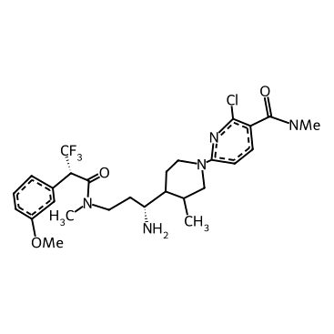 CNC(=O)c1ccc(N2CCC([C@H](N)CCN(C)C(=O)[C@H](c3cccc(OC)c3)C(F)(F)F)C(C)C2)nc1Cl